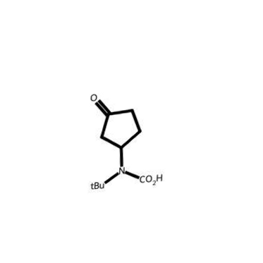 CC(C)(C)N(C(=O)O)C1CCC(=O)C1